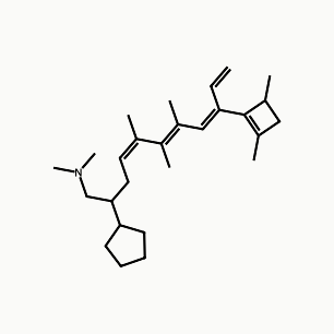 C=C\C(=C/C(C)=C(C)/C(C)=C\CC(CN(C)C)C1CCCC1)C1=C(C)CC1C